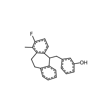 Cc1c(F)ccc2c1CCc1ccccc1C2Cc1cccc(O)c1